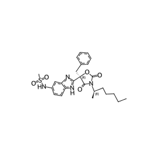 CCCCC[C@@H](C)N1C(=O)O[C@](Cc2ccccc2)(c2nc3cc(NS(C)(=O)=O)ccc3[nH]2)C1=O